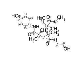 CCC(C)(CC(C)(CC(C)(C)C(=O)Nc1ccc(O)cc1)C(=O)OCCO)C(=O)OC